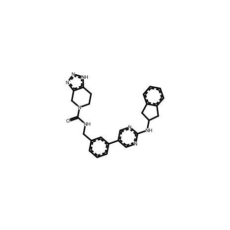 O=C(NCc1cccc(-c2cnc(NC3Cc4ccccc4C3)nc2)c1)N1CCc2[nH]nnc2C1